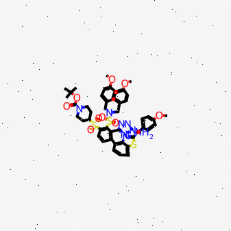 COc1ccc(CN(Cc2ccc(OC)cc2)S(=O)(=O)c2c(S(=O)(=O)C3CCN(C(=O)OC(C)(C)C)CC3)ccc(-c3cccc4sc(N)nc34)c2-c2nnn(Cc3ccc(OC)cc3)n2)cc1